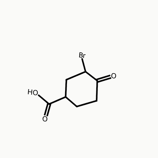 O=C1CCC(C(=O)O)CC1Br